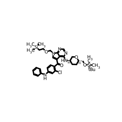 CC(C)(C)[Si](C)(C)OC[C@@H]1CC[C@@H](Nc2ncnc3c2c(C(=O)c2ccc(Nc4ccccc4)cc2Cl)cn3COCC[Si](C)(C)C)CO1